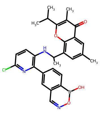 Cc1cc(C(C)Nc2ccc(Cl)nc2-c2ccc3c(c2)C=NOB3O)c2oc(C(C)C)c(C)c(=O)c2c1